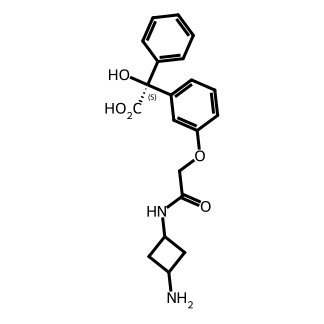 NC1CC(NC(=O)COc2cccc([C@](O)(C(=O)O)c3ccccc3)c2)C1